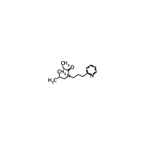 CCC(=O)N(CCCc1ccccn1)CC(C)C